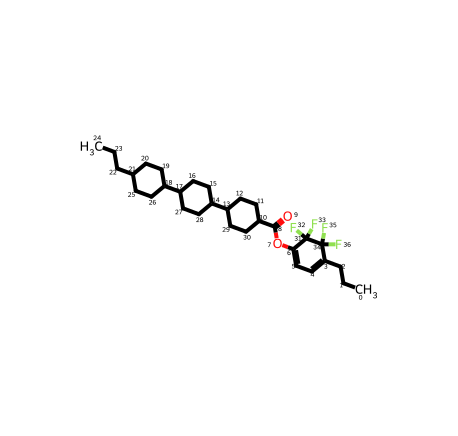 CCCC1=CC=C(OC(=O)C2CCC(C3CCC(C4CCC(CCC)CC4)CC3)CC2)C(F)(F)C1(F)F